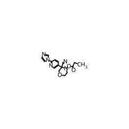 CCC(=O)ON1CCOCC1(C#N)c1ccc(-n2ccnc2)nc1